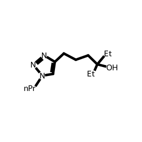 [CH2]CCn1cc(CCCC(O)(CC)CC)nn1